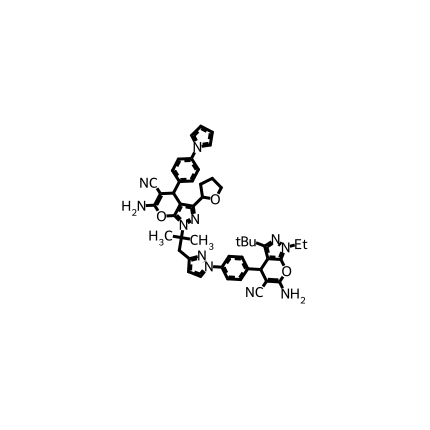 CCn1nc(C(C)(C)C)c2c1OC(N)=C(C#N)C2c1ccc(-n2ccc(CC(C)(C)n3nc(C4CCCO4)c4c3OC(N)=C(C#N)C4c3ccc(-n4cccc4)cc3)n2)cc1